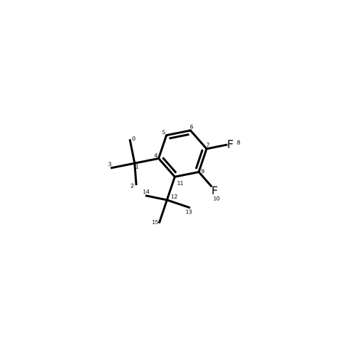 CC(C)(C)c1ccc(F)c(F)c1C(C)(C)C